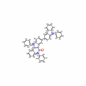 O=c1c2c3cc(-c4ccc5c(c4)c4ccccc4n5-c4ccccc4)ccc3n(-c3ccccc3)c2c2ccccc2n1-c1ccccc1